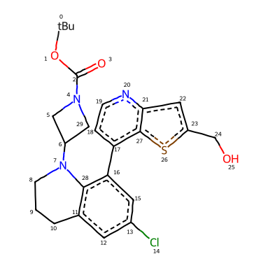 CC(C)(C)OC(=O)N1CC(N2CCCc3cc(Cl)cc(-c4ccnc5cc(CO)sc45)c32)C1